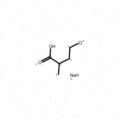 CC(CCCl)C(=O)O.[NaH]